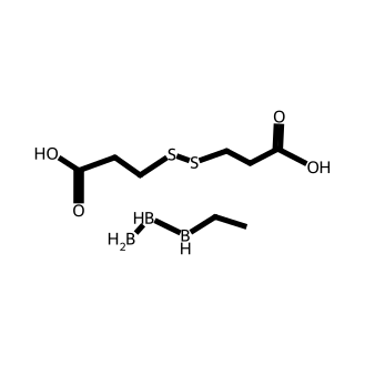 BBBCC.O=C(O)CCSSCCC(=O)O